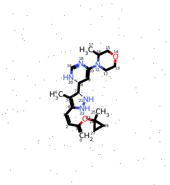 C=C(/C=C\C1=C(C)[C@H]([C@H]2C=C(N3CCOCC3C)N=CN2)NN1)OC1(C)CC1